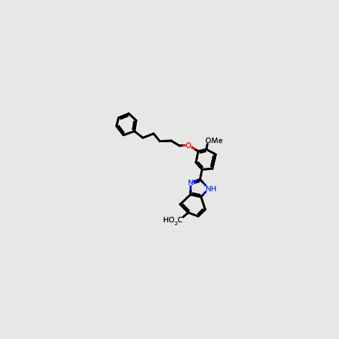 COc1ccc(-c2nc3cc(C(=O)O)ccc3[nH]2)cc1OCCCCCc1ccccc1